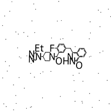 CCc1nncn1C1CCN(C(=O)c2cc(Cc3n[nH]c(=O)c4ccccc34)ccc2F)CC1